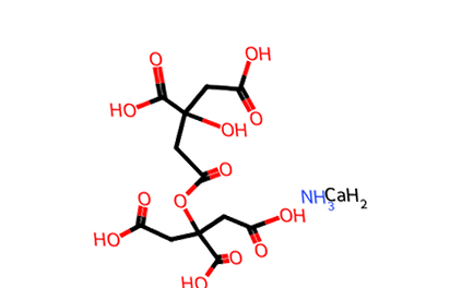 N.O=C(O)CC(O)(CC(=O)OC(CC(=O)O)(CC(=O)O)C(=O)O)C(=O)O.[CaH2]